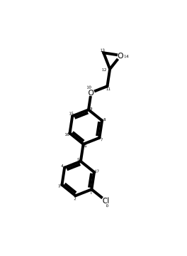 Clc1cccc(-c2ccc(OCC3CO3)cc2)c1